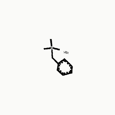 Br.C[N+](C)(C)Cc1ccccc1